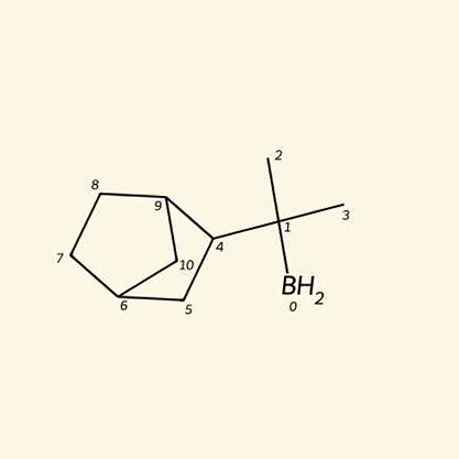 BC(C)(C)C1CC2CCC1C2